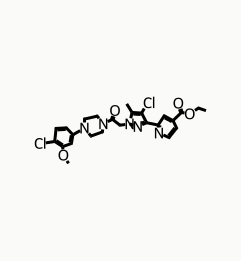 CCOC(=O)c1ccnc(-c2nn(CC(=O)N3CCN(c4ccc(Cl)c(OC)c4)CC3)c(C)c2Cl)c1